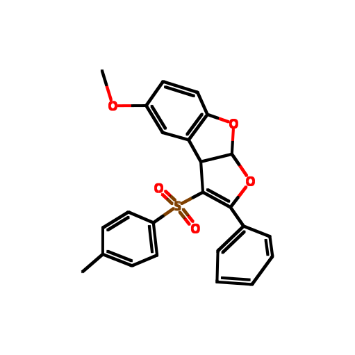 COc1ccc2c(c1)C1C(S(=O)(=O)c3ccc(C)cc3)=C(c3ccccc3)OC1O2